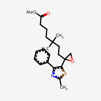 COC(=O)CCCC(C)(C)CCC1(c2sc(C)nc2-c2ccccc2)CO1